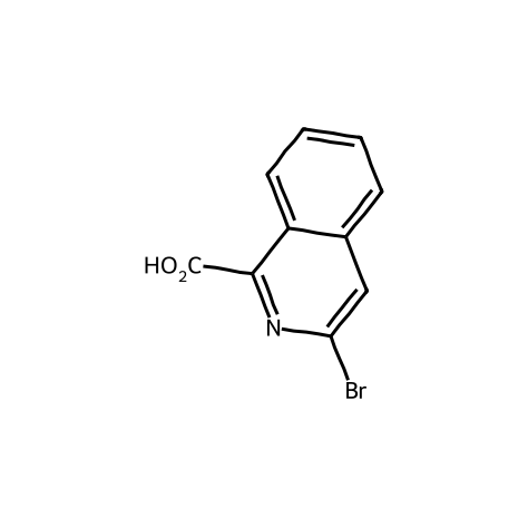 O=C(O)c1nc(Br)cc2ccccc12